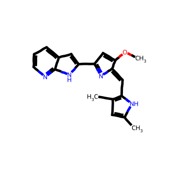 COC1=CC(c2cc3cccnc3[nH]2)=NC1=Cc1[nH]c(C)cc1C